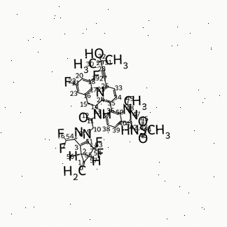 C=C1[C@@H]2c3c(C(F)F)nn(CC(=O)N[C@@H](Cc4cc(F)cc(F)c4)c4nc(C#CC(C)(C)O)ccc4-c4cccc5c(NS(C)(=O)=O)nn(C)c45)c3C(F)(F)[C@H]12